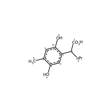 CCCC(C(=O)O)c1cc(O)c(C)cc1O